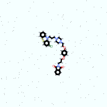 O=C1c2ccccc2C(=O)N1CCCOc1ccc(OCCN2CCN(CCCN3c4ccccc4Sc4ccc(Cl)cc43)CC2)cc1